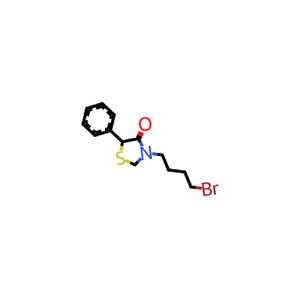 O=C1C(c2ccccc2)SCN1CCCCBr